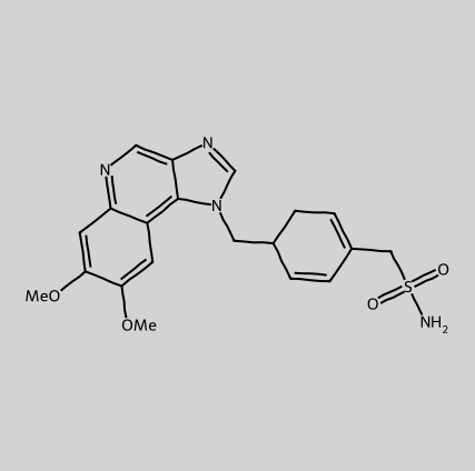 COc1cc2ncc3ncn(CC4C=CC(CS(N)(=O)=O)=CC4)c3c2cc1OC